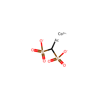 CC(=O)C(S(=O)(=O)[O-])S(=O)(=O)[O-].[Co+2]